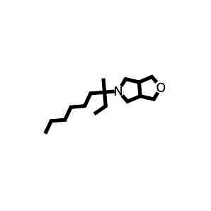 CCCCCCC(C)(CC)N1CC2COCC2C1